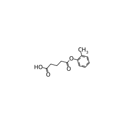 Cc1ccccc1OC(=O)CCCC(=O)O